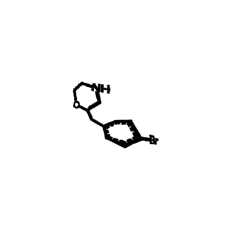 Brc1ccc(CC2CNCCO2)cc1